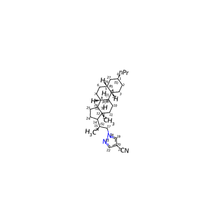 CCC[C@H]1CC[C@H]2[C@H](CC[C@@H]3[C@@H]2CC[C@]2(C)C([C@H](C)Cn4cc(C#N)cn4)CC[C@@H]32)C1